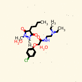 CCCCC1C(=O)N(C)N(C)C1=O.CCN(CC)CCNC(=O)COc1ccc(Cl)cc1.O.O